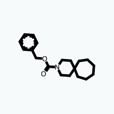 O=C(OCc1ccccc1)N1CCC2(CCCCCC2)CC1